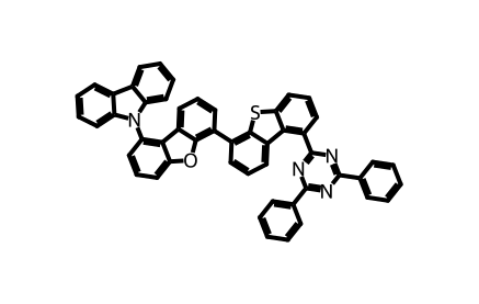 c1ccc(-c2nc(-c3ccccc3)nc(-c3cccc4sc5c(-c6cccc7c6oc6cccc(-n8c9ccccc9c9ccccc98)c67)cccc5c34)n2)cc1